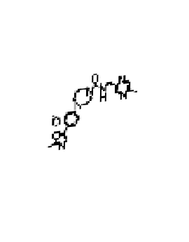 COc1cc(N2CCCN(C(=O)NCc3cnc(C)cn3)CC2)ccc1-c1cnc(C)o1